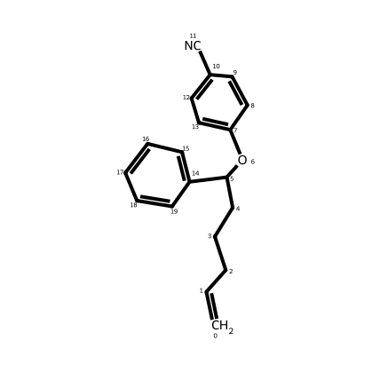 C=CCCCC(Oc1ccc(C#N)cc1)c1ccccc1